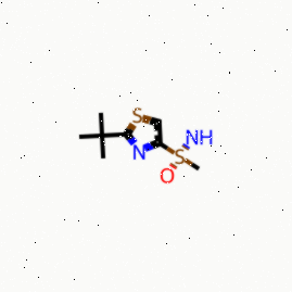 CC(C)(C)c1nc(S(C)(=N)=O)cs1